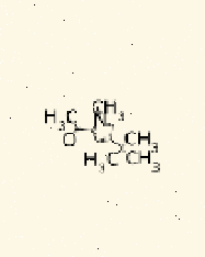 CC(=O)c1cc(C(C)(C)C)cn1C